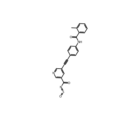 Cc1ccccc1C(=O)Nc1ccc(C#Cc2cncc(C(=O)N=S=O)c2)cc1